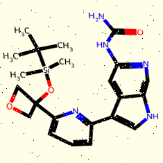 CC(C)(C)[Si](C)(C)OC1(c2cccc(-c3c[nH]c4cnc(NC(N)=O)cc34)n2)COC1